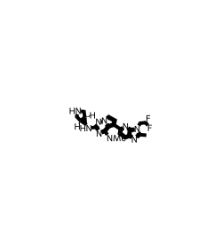 CNc1nc(NC2[C@H]3CNC[C@@H]23)nn2ccc(-c3ccc4nc(C)n(CC(F)F)c4n3)c12